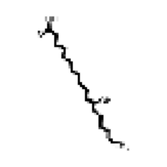 CCCCCCC(O)=CCCCCCCCCCC(=O)O